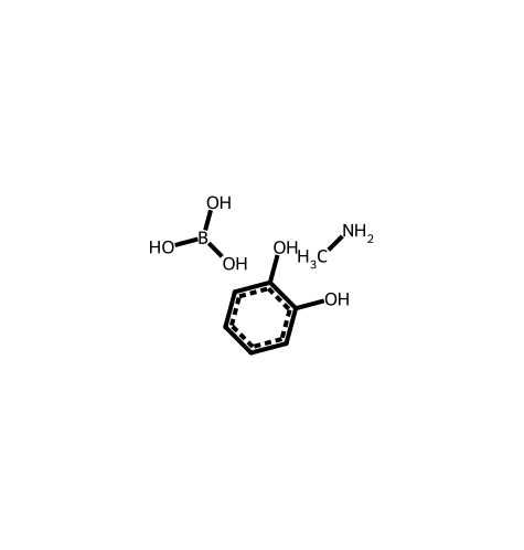 CN.OB(O)O.Oc1ccccc1O